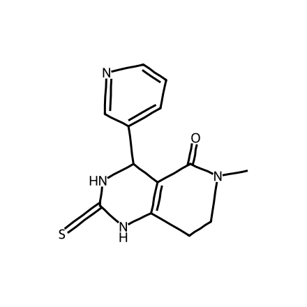 CN1CCC2=C(C1=O)C(c1cccnc1)NC(=S)N2